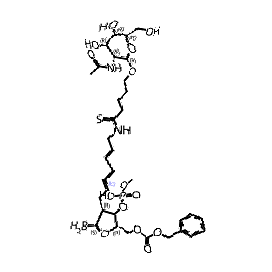 B[C@@H]1O[C@H](COC(=O)OCc2ccccc2)C(OP(=O)(O)OC)[C@@H]1C/C=C/CCCCNC(=S)CCCCO[C@@H]1O[C@H](CO)[C@H](O)[C@H](O)[C@H]1NC(C)=O